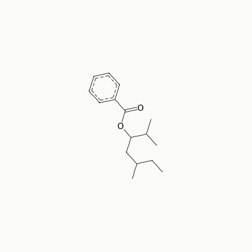 CCC(C)CC(OC(=O)c1ccccc1)C(C)C